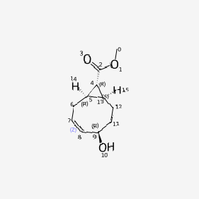 COC(=O)[C@H]1[C@@H]2C/C=C\[C@H](O)CC[C@@H]21